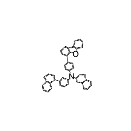 c1cc(-c2cccc3ccccc23)cc(N(c2ccc(-c3cccc4c3oc3ccccc34)cc2)c2ccc3ccccc3c2)c1